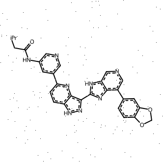 CC(C)CC(=O)Nc1cncc(-c2ccc3[nH]nc(-c4nc5c(-c6ccc7c(c6)OCO7)cncc5[nH]4)c3n2)c1